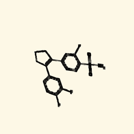 NS(=O)(=O)c1ccc(C2=C(c3ccc(F)c(F)c3)CCC2)cc1F